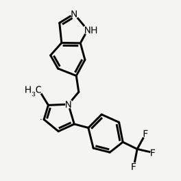 Cc1[c]cc(-c2ccc(C(F)(F)F)cc2)n1Cc1ccc2cn[nH]c2c1